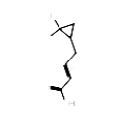 O=C(O)/C=C/CC1CC1(F)F